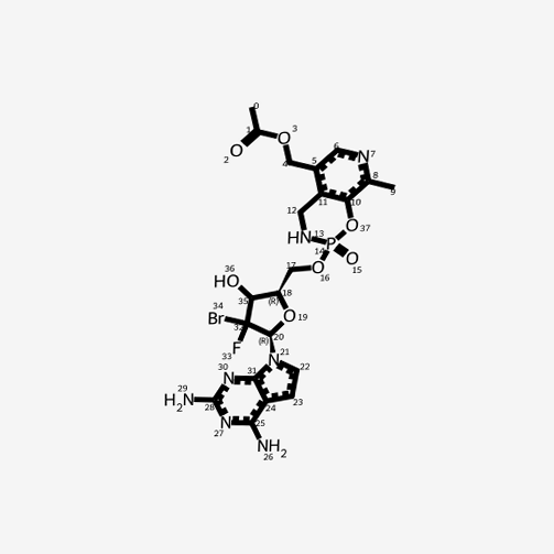 CC(=O)OCc1cnc(C)c2c1CNP(=O)(OC[C@H]1O[C@@H](n3ccc4c(N)nc(N)nc43)C(F)(Br)C1O)O2